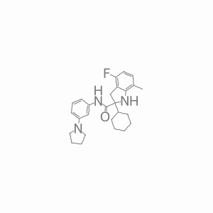 Cc1ccc(F)c2c1NC(C(=O)Nc1cccc(N3CCCC3)c1)(C1CCCCC1)C2